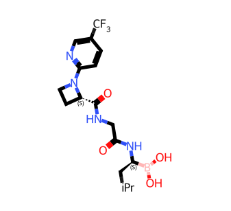 CC(C)C[C@@H](NC(=O)CNC(=O)[C@@H]1CCN1c1ccc(C(F)(F)F)cn1)B(O)O